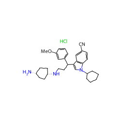 COc1cccc(C(CCN[C@H]2CC[C@@H](N)CC2)c2cn(C3CCCCC3)c3ccc(C#N)cc23)c1.Cl